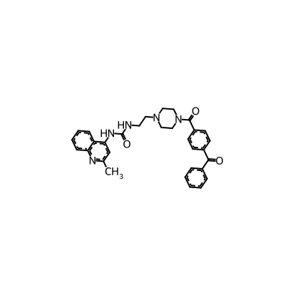 Cc1cc(NC(=O)NCCN2CCN(C(=O)c3ccc(C(=O)c4ccccc4)cc3)CC2)c2ccccc2n1